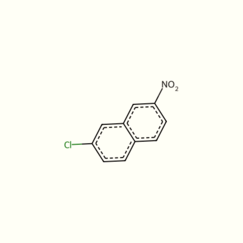 O=[N+]([O-])c1ccc2ccc(Cl)cc2c1